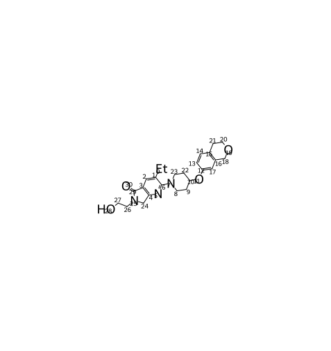 CCc1cc2c(nc1N1CCC(Oc3ccc4c(c3)COCC4)CC1)CN(CCO)C2=O